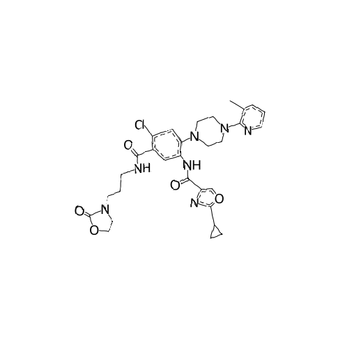 Cc1cccnc1N1CCN(c2cc(Cl)c(C(=O)NCCCN3CCOC3=O)cc2NC(=O)c2coc(C3CC3)n2)CC1